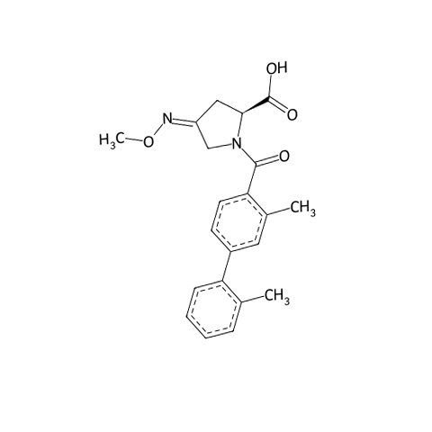 CON=C1C[C@@H](C(=O)O)N(C(=O)c2ccc(-c3ccccc3C)cc2C)C1